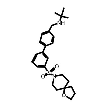 CC(C)(C)NCc1ccc(-c2cccc(S(=O)(=O)N3CCC4(CCCO4)CC3)c2)cc1